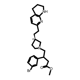 COC(=O)CC(CN1CC[C@@H](CCc2ccc3c(n2)NCCC3)C1)c1cccc(Br)c1